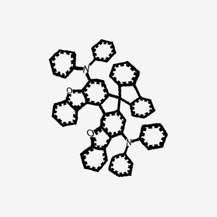 c1ccc(N(c2ccccc2)c2cc3c(c4c2oc2ccccc24)-c2c(cc(N(c4ccccc4)c4ccccc4)c4c2oc2ccccc24)C32c3ccccc3-c3ccccc32)cc1